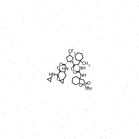 CC1([C@H](NC(=O)NC2(CS(=O)(=O)C(C)(C)C)CCCCC2)C(=O)N2C[C@H](C(F)(F)F)C[C@H]2C(=O)NC(CC2CC2)C(=O)C(=O)NC2CC2)CCCCC1